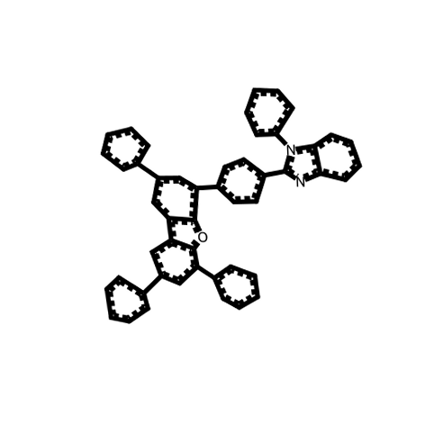 c1ccc(-c2cc(-c3ccccc3)c3oc4c(-c5ccc(-c6nc7ccccc7n6-c6ccccc6)cc5)cc(-c5ccccc5)cc4c3c2)cc1